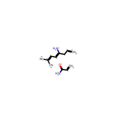 C=CC(N)=O.C=CCC(N)=CC=C(C#N)C#N